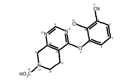 N#Cc1cccc(Oc2ncnc3c2CCN(C(=O)O)C3)c1Cl